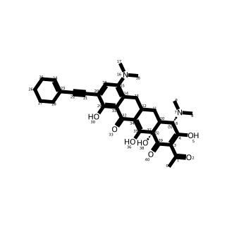 CC(=O)C1=C(O)[C@@H](N(C)C)C2CC3Cc4c(N(C)C)cc(C#CC5=CCCCC5)c(O)c4C(=O)C3=C(O)[C@]2(O)C1=O